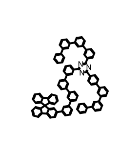 c1ccc(-c2cccc(-c3cccc(-c4ccc(-c5nc(-c6cccc(-c7cccc(-c8cccc(-c9ccccc9)c8)c7)c6)nc(-c6cccc(-c7cccc(-c8cccc(-c9cccc(-c%10ccc%11c(c%10)C%10(c%12ccccc%12-c%12ccccc%12%10)c%10ccccc%10-%11)c9)c8)c7)c6)n5)cc4)c3)c2)cc1